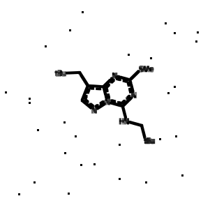 CSc1nc(NCC(C)(C)C)n2ncc(CC(C)(C)C)c2n1